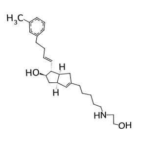 Cc1cccc(CC/C=C/[C@@H]2[C@H]3CC(CCCCCNCCO)=C[C@H]3C[C@H]2O)c1